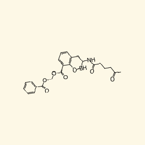 CC(=O)CCCC(=O)NC1BOc2c(cccc2C(=O)OCOC(=O)c2ccccc2)C1